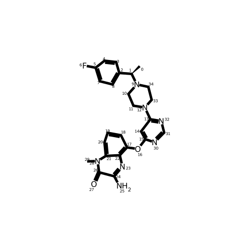 C[C@H](c1ccc(F)cc1)N1CCN(c2cc(Oc3cccc4c3nc(N)c(=O)n4C)ncn2)CC1